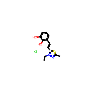 CCn1nc(C)s[c+]1C=Cc1cccc(O)c1O.[Cl-]